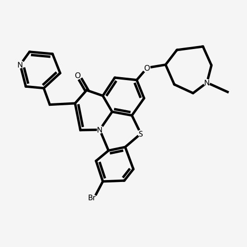 CN1CCCC(Oc2cc3c4c(c2)c(=O)c(Cc2cccnc2)cn4-c2cc(Br)ccc2S3)CC1